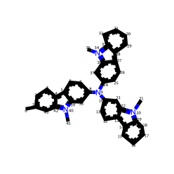 Cc1ccc2c3ccc(N(c4ccc5c6ccccc6n(C)c5c4)c4ccc5c6ccccc6n(C)c5c4)cc3n(C)c2c1